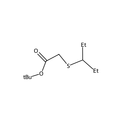 CCC(CC)SCC(=O)OC(C)(C)C